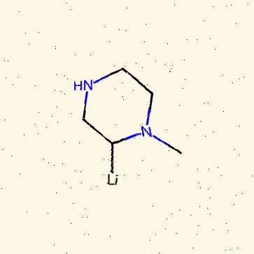 [Li][CH]1CNCCN1C